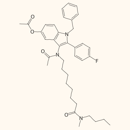 CCCCN(C)C(=O)CCCCCCCN(C(C)=O)c1c(-c2ccc(F)cc2)n(Cc2ccccc2)c2ccc(OC(C)=O)cc12